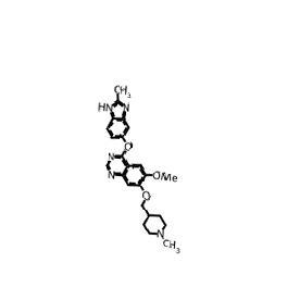 COc1cc2c(Oc3ccc4[nH]c(C)nc4c3)ncnc2cc1OCC1CCN(C)CC1